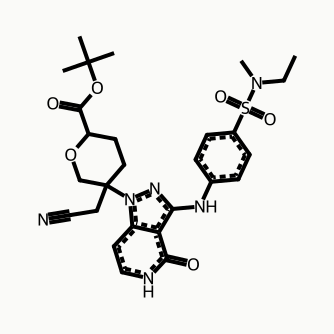 CCN(C)S(=O)(=O)c1ccc(Nc2nn(C3(CC#N)CCC(C(=O)OC(C)(C)C)OC3)c3cc[nH]c(=O)c23)cc1